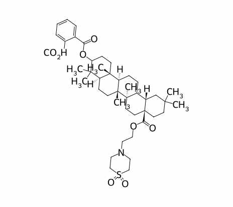 CC1(C)CC[C@]2(C(=O)OCCN3CCS(=O)(=O)CC3)CC[C@]3(C)C(=CC[C@@H]4[C@@]5(C)CCC(OC(=O)c6ccccc6C(=O)O)C(C)(C)[C@@H]5CC[C@]43C)[C@@H]2C1